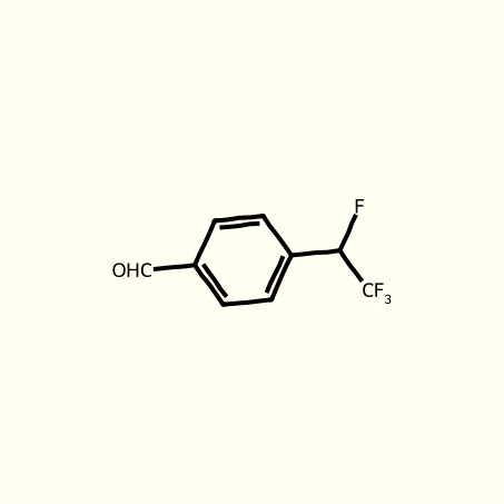 O=Cc1ccc(C(F)C(F)(F)F)cc1